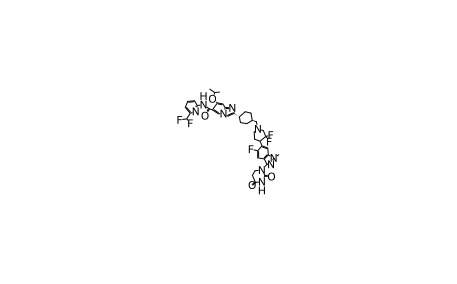 CC(C)Oc1cc2nc([C@H]3CC[C@H](CN4CCC(c5cc6c(cc5F)c(N5CCC(=O)NC5=O)nn6C)C(F)(F)C4)CC3)cn2cc1C(=O)Nc1cccc(C(F)F)n1